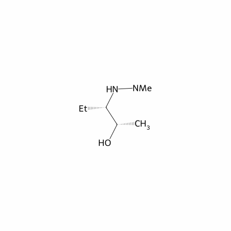 CC[C@H](NNC)[C@H](C)O